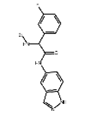 CCNC(C(=O)Nc1ccc2[nH]ncc2c1)c1cccc(F)c1